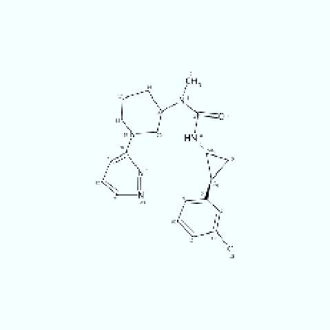 CN(C(=O)N[C@@H]1C[C@H]1c1cccc(Cl)c1)C1CCCN(c2cccnn2)C1